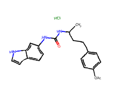 CC(=O)Oc1ccc(CCC(C)NC(=O)Nc2ccc3cc[nH]c3c2)cc1.Cl